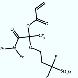 C=CC(=O)OC(OCCC(F)(F)S(=O)(=O)O)(C(=O)N(CC)C(C)C)C(F)(F)F